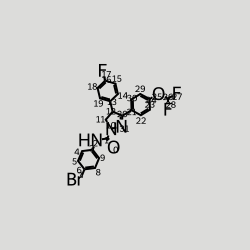 O=C(Nc1ccc(Br)cc1)N1CC(c2ccc(F)cc2)C(c2ccc(OC(F)F)cc2)=N1